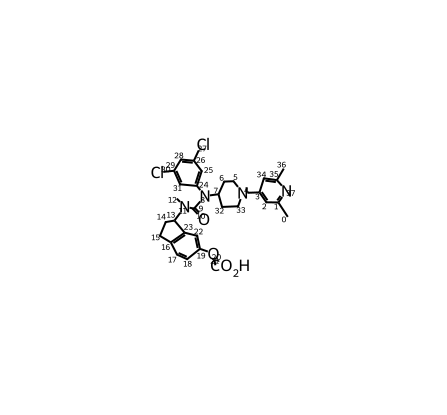 Cc1cc(N2CCC(N(C(=O)N(C)C3CCc4ccc(OC(=O)O)cc43)c3cc(Cl)cc(Cl)c3)CC2)cc(C)n1